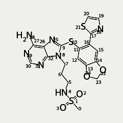 CS(=O)(=O)NCCCn1c(Sc2cc3c(cc2-c2nccs2)OCO3)nc2c(N)ncnc21